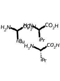 CC(C)C(N)C(=O)O.CC(C)[C@H](N)C(=O)O.CCCCC(N)C(=O)O